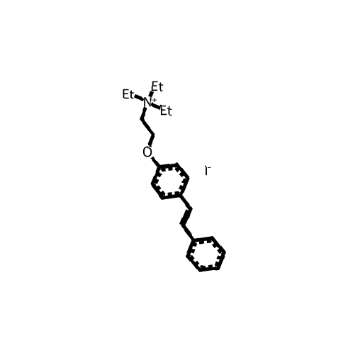 CC[N+](CC)(CC)CCOc1ccc(C=Cc2ccccc2)cc1.[I-]